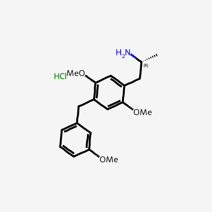 COc1cccc(Cc2cc(OC)c(C[C@@H](C)N)cc2OC)c1.Cl